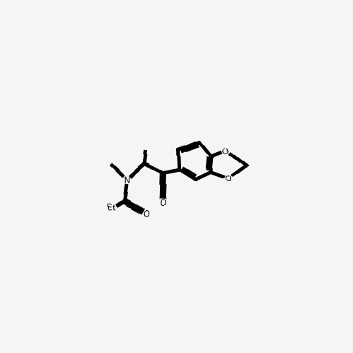 CCC(=O)N(C)C(C)C(=O)c1ccc2c(c1)OCO2